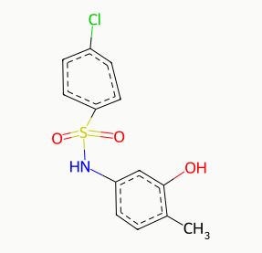 Cc1ccc(NS(=O)(=O)c2ccc(Cl)cc2)cc1O